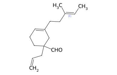 C=CCC1(C=O)CCC=C(CC/C(C)=C/C)C1